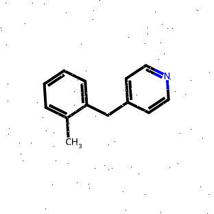 Cc1ccccc1Cc1ccncc1